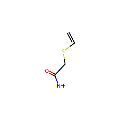 C=CSCC([NH])=O